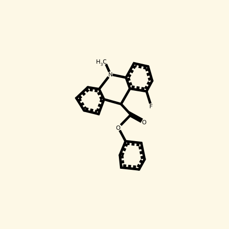 CN1c2ccccc2C(C(=O)Oc2ccccc2)c2c(F)cccc21